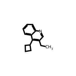 CCc1cnc2ccccc2c1C1CCC1